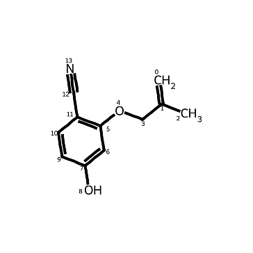 C=C(C)COc1cc(O)ccc1C#N